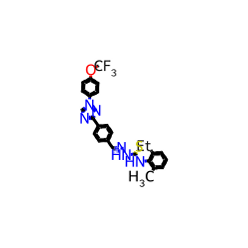 CCc1cccc(C)c1NC(=S)N/N=C/c1ccc(-c2ncn(-c3ccc(OC(F)(F)F)cc3)n2)cc1